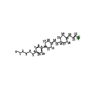 CCCCCCc1ccc(C2CCC(CCC3CCC(CC=CF)CC3)CC2)cc1